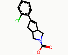 O=C(O)N1CC2C=C(c3ccccc3Cl)CC2C1